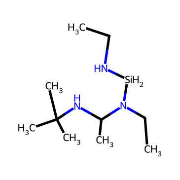 CCN[SiH2]N(CC)C(C)NC(C)(C)C